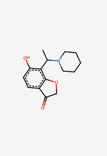 CC(c1c(O)ccc2c1OCC2=O)N1CCCCC1